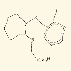 Cc1ccccc1SC1CCCCC1SCC(=O)O